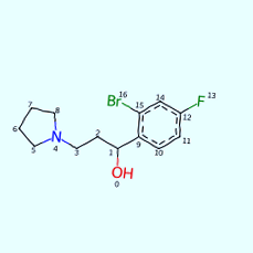 OC(CCN1CCCC1)c1ccc(F)cc1Br